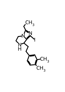 CCc1nc(I)c2n1CCNC2CCc1ccc(C)c(C)c1